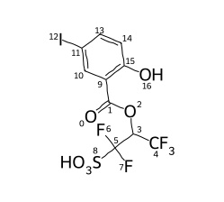 O=C(OC(C(F)(F)F)C(F)(F)S(=O)(=O)O)c1cc(I)ccc1O